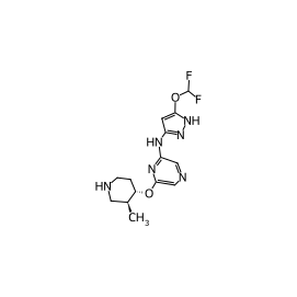 C[C@H]1CNCC[C@@H]1Oc1cncc(Nc2cc(OC(F)F)[nH]n2)n1